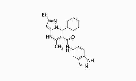 CCc1cc2n(n1)C(C1CCCCC1)C(C(=O)Nc1ccc3[nH]ncc3c1)=C(C)N2